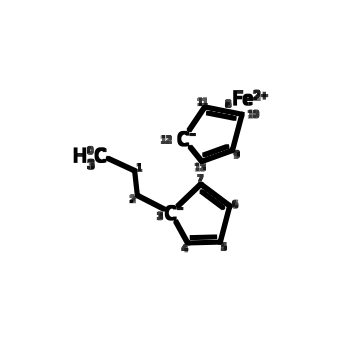 CCC[c-]1cccc1.[Fe+2].c1cc[cH-]c1